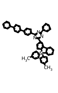 Cc1ccc([Si]2(c3ccc(C)cc3)c3ccccc3-c3cc(-c4nc(-c5ccccc5)nc(-c5ccc(-c6ccc(-c7ccccc7)cc6)cc5)n4)ccc32)cc1